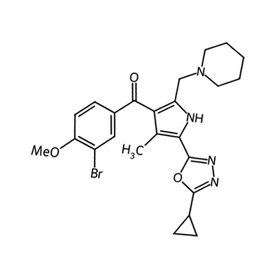 COc1ccc(C(=O)c2c(CN3CCCCC3)[nH]c(-c3nnc(C4CC4)o3)c2C)cc1Br